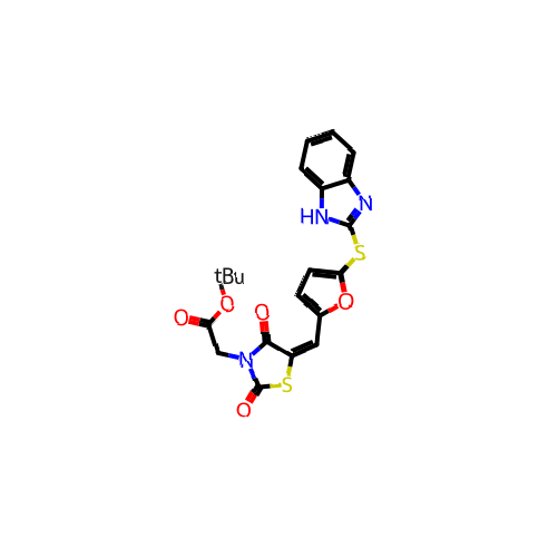 CC(C)(C)OC(=O)CN1C(=O)SC(=Cc2ccc(Sc3nc4ccccc4[nH]3)o2)C1=O